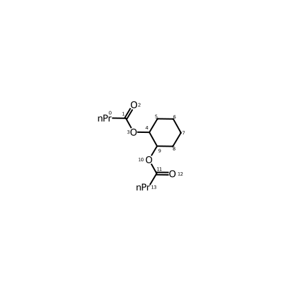 CCCC(=O)OC1CCCCC1OC(=O)CCC